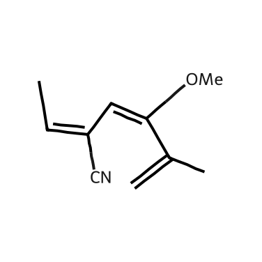 C=C(C)/C(=C\C(C#N)=C/C)OC